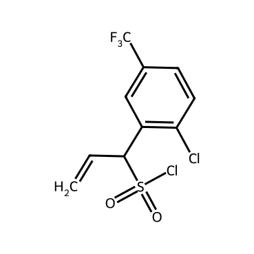 C=CC(c1cc(C(F)(F)F)ccc1Cl)S(=O)(=O)Cl